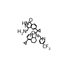 NCc1n[nH]c(=O)c2ccc(C3(C(=O)N(Cc4ccc(C(F)(F)F)cn4)C4CCCc5c(C6CC6)ccnc54)CC3)cc12